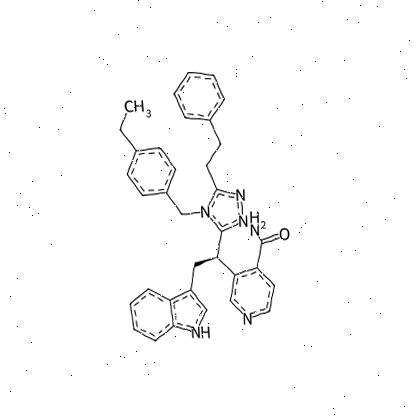 CCc1ccc(Cn2c(CCc3ccccc3)nnc2[C@H](Cc2c[nH]c3ccccc23)c2cnccc2C(N)=O)cc1